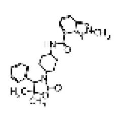 Cn1cc2cccc(C(=O)NC3CCC(N4C(=O)OC(C)(C)C4c4ccccc4)CC3)c2n1